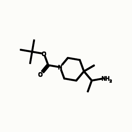 CC(N)C1(C)CCN(C(=O)OC(C)(C)C)CC1